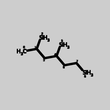 CC([SiH3])CC([SiH3])CC[SiH3]